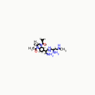 CNCCC(N)CNCC(CN)C1CCC2C(C1)N(C(=O)C1CC1)C[C@H](C)N2C(C)=O